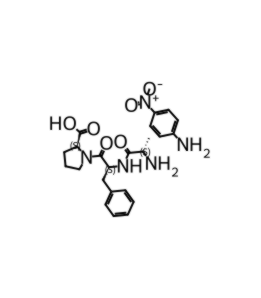 C[C@H](N)C(=O)N[C@@H](Cc1ccccc1)C(=O)N1CCC[C@H]1C(=O)O.Nc1ccc([N+](=O)[O-])cc1